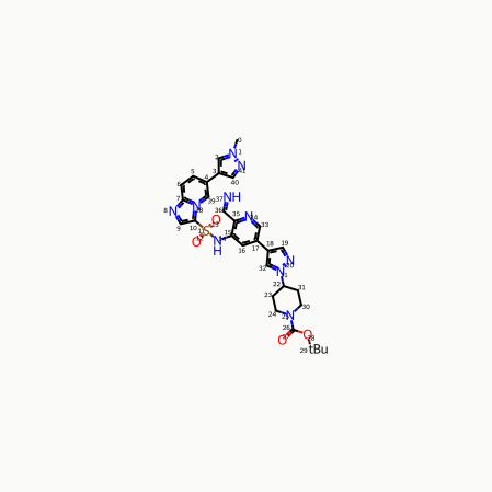 Cn1cc(-c2ccc3ncc(S(=O)(=O)Nc4cc(-c5cnn(C6CCN(C(=O)OC(C)(C)C)CC6)c5)cnc4C=N)n3c2)cn1